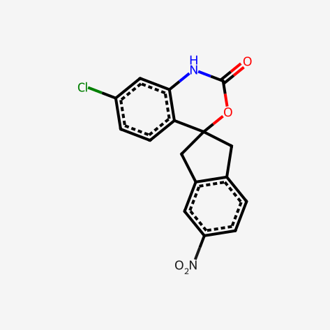 O=C1Nc2cc(Cl)ccc2C2(Cc3ccc([N+](=O)[O-])cc3C2)O1